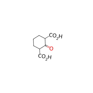 O=C(O)C1CCCC(C(=O)O)C1=O